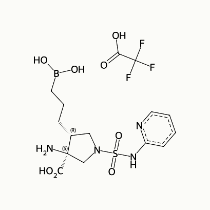 N[C@]1(C(=O)O)CN(S(=O)(=O)Nc2ccccn2)C[C@H]1CCCB(O)O.O=C(O)C(F)(F)F